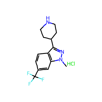 Cl.Cn1nc(C2CCNCC2)c2ccc(C(F)(F)F)cc21